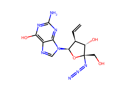 C=C[C@@H]1[C@H](n2cnc3c(O)nc(N)nc32)O[C@@](CO)(N=[N+]=[N-])[C@H]1O